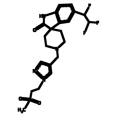 CS(=O)(=O)CCn1cc(CN2CCC3(CC2)C(=O)Nc2ccc(C(F)C(F)F)cc23)cn1